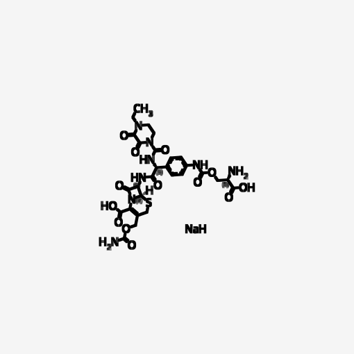 CCN1CCN(C(=O)N[C@H](C(=O)N[C@@H]2C(=O)N3C(C(=O)O)=C(COC(N)=O)CS[C@H]23)c2ccc(NC(=O)OC[C@@H](N)C(=O)O)cc2)C(=O)C1=O.[NaH]